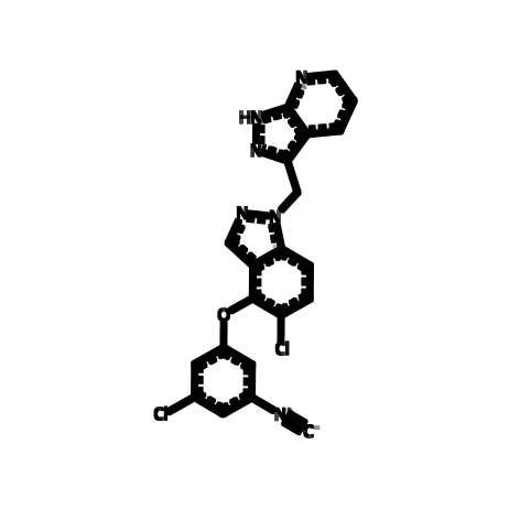 [C-]#[N+]c1cc(Cl)cc(Oc2c(Cl)ccc3c2cnn3Cc2n[nH]c3ncccc23)c1